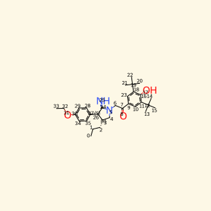 CCC[C@H]1CN(CC(=O)c2cc(C(C)(C)C)c(O)c(C(C)(C)C)c2)C(=N)[C@@H]1c1ccc(OCC)cc1